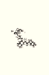 CC(C)(C)OC(=O)N1CCC(Oc2cc3ncccc3cc2NC(=O)c2csc3cncnc23)C1